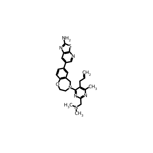 C=CCc1c(C)nc(CN(C)C)nc1N1CCOc2ccc(-c3cnc4sc(N)nc4c3)cc2C1